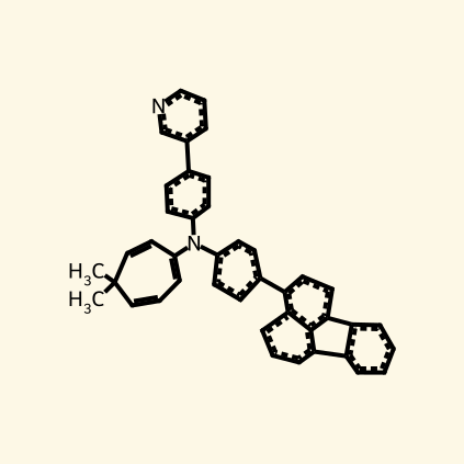 CC1(C)C=CC=C(N(c2ccc(-c3cccnc3)cc2)c2ccc(-c3ccc4c5c(cccc35)-c3ccccc3-4)cc2)C=C1